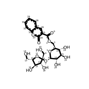 O=C(OC[C@@H]1O[C@@H](O[C@@]2(CO)O[C@@H](CO)[C@H](O)[C@H]2O)[C@@H](O)[C@H](O)[C@H]1O)c1cc2ccccc2oc1=O